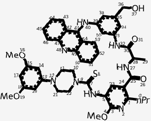 CCCc1nc(OC)c(NC(=S)N2CCN(c3cc(OC)cc(OC)c3)CC2)cc1C(=O)NC(C)C(=O)Nc1cc(CO)cc(Nc2c3ccccc3nc3ccccc23)c1